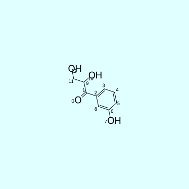 O=C(c1cccc(O)c1)C(O)CO